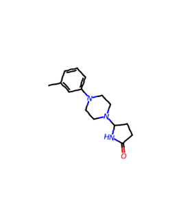 Cc1cccc(N2CCN(C3CCC(=O)N3)CC2)c1